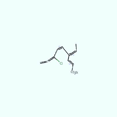 C=C=C(Cl)\C=C/C(=C\C)/C=C/C(=O)OCC